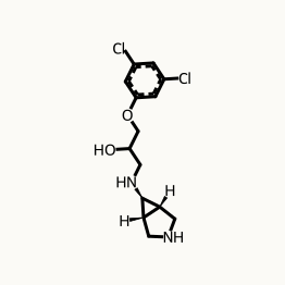 OC(CN[C@H]1[C@@H]2CNC[C@@H]21)COc1cc(Cl)cc(Cl)c1